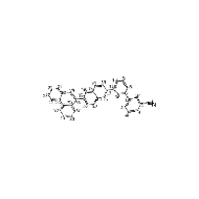 N#Cc1cccc(-c2cccc(-c3ccc4cc(-c5cc6ccccc6c6ccccc56)ccc4c3)c2)c1